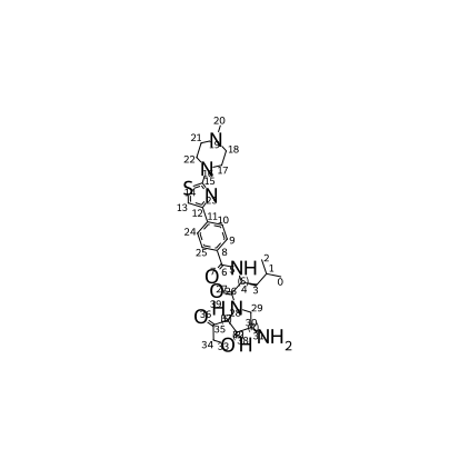 CC(C)C[C@H](NC(=O)c1ccc(-c2csc(N3CCN(C)CC3)n2)cc1)C(=O)N1C[C@@H](N)[C@H]2OCC(=O)[C@H]21